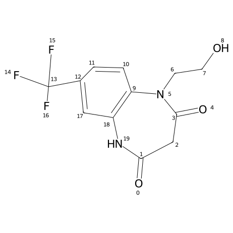 O=C1CC(=O)N(CCO)c2ccc(C(F)(F)F)cc2N1